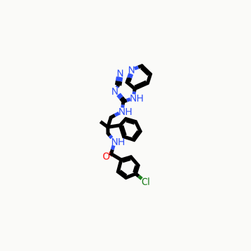 CC(CNC(=O)c1ccc(Cl)cc1)(CNC(=NC#N)Nc1cccnc1)c1ccccc1